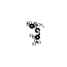 CCOc1cc(CN2CCC(n3c(C)nc4cc(OC(=O)O)ccc43)CC2)ccc1OC(CC)CC